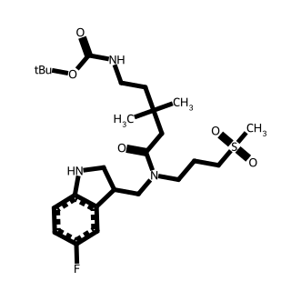 CC(C)(CCNC(=O)OC(C)(C)C)CC(=O)N(CCCS(C)(=O)=O)CC1CNc2ccc(F)cc21